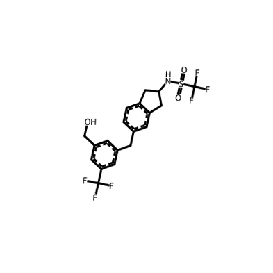 O=S(=O)(NC1Cc2ccc(Cc3cc(CO)cc(C(F)(F)F)c3)cc2C1)C(F)(F)F